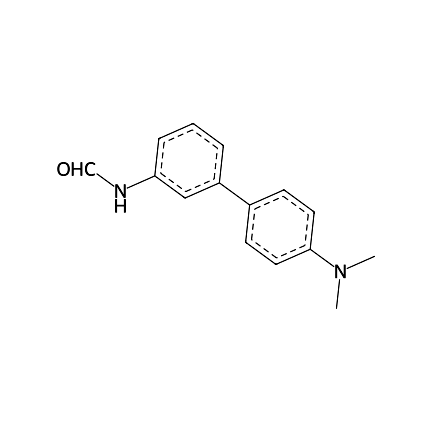 CN(C)c1ccc(-c2cccc(NC=O)c2)cc1